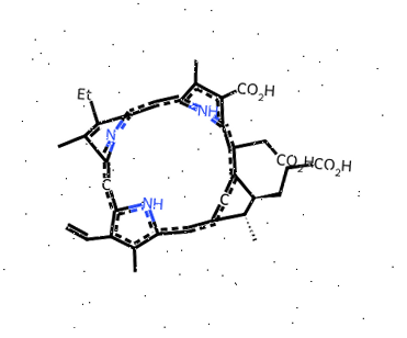 C=Cc1c(C)c2cc3cc(c(CC(=O)O)c4[nH]c(cc5nc(cc1[nH]2)C(C)=C5CC)c(C)c4C(=O)O)[C@@H](CCC(=O)O)[C@@H]3C